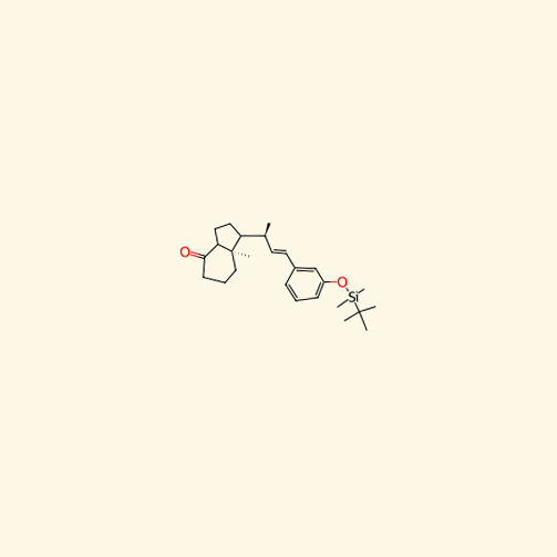 C[C@@H](C=Cc1cccc(O[Si](C)(C)C(C)(C)C)c1)C1CCC2C(=O)CCC[C@@]21C